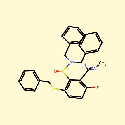 C/N=C(\N)c1c(Br)ccc(SCc2ccccc2)c1[S+]([O-])N(Cc1ccccc1)Cc1ccccc1